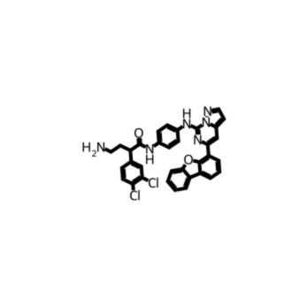 NCCC(C(=O)Nc1ccc(Nc2nc(-c3cccc4c3oc3ccccc34)cc3ccnn23)cc1)c1ccc(Cl)c(Cl)c1